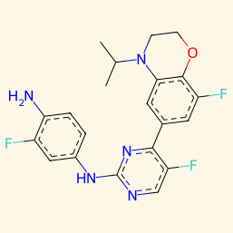 CC(C)N1CCOc2c(F)cc(-c3nc(Nc4ccc(N)c(F)c4)ncc3F)cc21